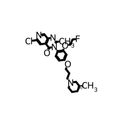 Cc1nc2cnc(Cl)cc2c(=O)n1-c1ccc(OCCCN2CCC[C@H](C)C2)cc1OCCF